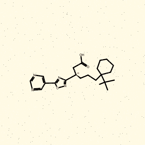 CC(C)(C)C1(CCC[C@H](CC(=O)O)c2noc(-c3cncnc3)n2)CCCCC1